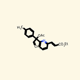 C=CC(OC(C)=O)(c1ccc(C)cc1)c1cccc(/C=C/C(=O)OCC)n1